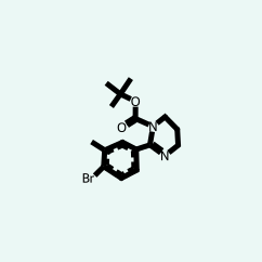 Cc1cc(C2=NCCCN2C(=O)OC(C)(C)C)ccc1Br